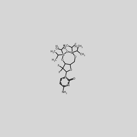 CC(C)[Si]1(C(C)C)OCC2OC(n3ccc(N)nc3=O)C(F)(F)C2O[Si](C(C)C)(C(C)C)O1